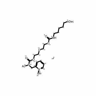 CCCCCCCCCCCCCCCNC(=O)OCCOCCOC(=O)N(Cc1cccc[n+]1CCC)C(C)=O.[I-]